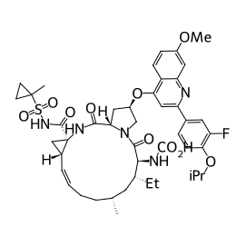 CC[C@@H]1C[C@H](C)CC/C=C\[C@@H]2C[C@@]2(C(=O)NS(=O)(=O)C2(C)CC2)NC(=O)[C@@H]2C[C@@H](Oc3cc(-c4ccc(OC(C)C)c(F)c4)nc4cc(OC)ccc34)CN2C(=O)[C@H]1NC(=O)O